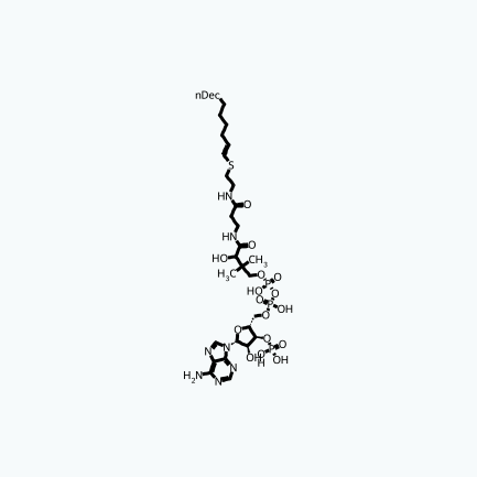 CCCCCCCCCCCCCCC=CSCCNC(=O)CCNC(=O)C(O)C(C)(C)COP(=O)(O)OP(=O)(O)OC[C@H]1O[C@@H](n2cnc3c(N)ncnc32)[C@H](O)[C@@H]1OP(=O)(O)O